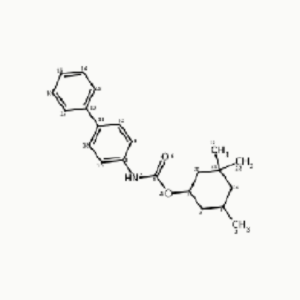 CC1CC(OC(=O)Nc2ccc(-c3ccccc3)cc2)CC(C)(C)C1